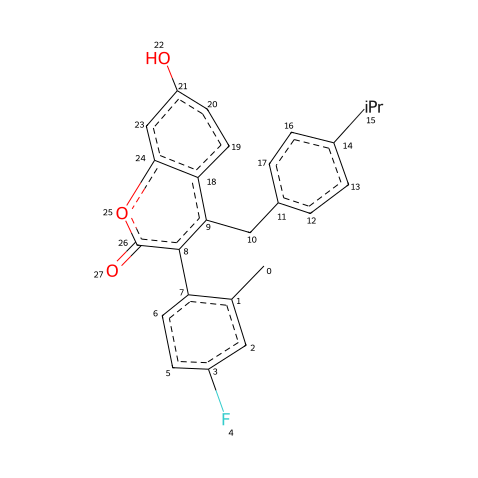 Cc1cc(F)ccc1-c1c(Cc2ccc(C(C)C)cc2)c2ccc(O)cc2oc1=O